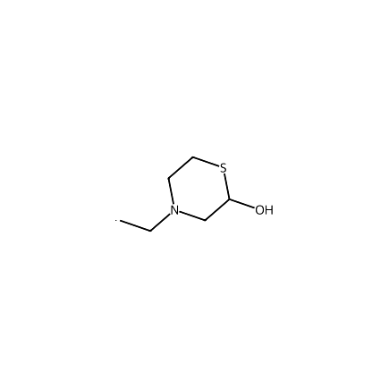 [CH2]CN1CCSC(O)C1